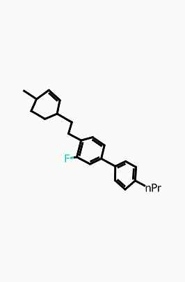 CCCc1ccc(-c2ccc(CCC3C=CC(C)CC3)c(F)c2)cc1